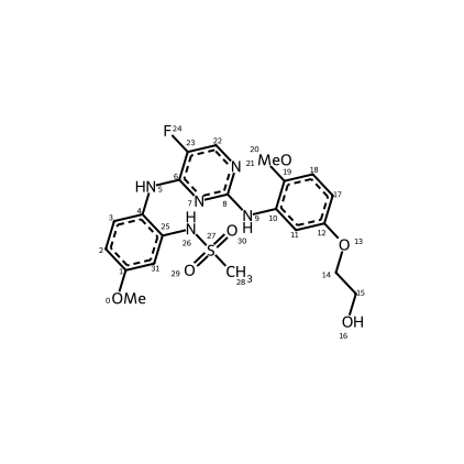 COc1ccc(Nc2nc(Nc3cc(OCCO)ccc3OC)ncc2F)c(NS(C)(=O)=O)c1